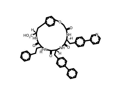 O=C1COc2ccc(cc2)C[C@@H](C(=O)O)NC(=O)[C@H](CCc2ccccc2)NC(=O)[C@@H](Cc2ccc(-c3ccccc3)cc2)NC(=O)[C@H](Cc2ccc(-c3cccnc3)cc2)N1